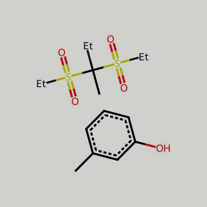 CCC(C)(S(=O)(=O)CC)S(=O)(=O)CC.Cc1cccc(O)c1